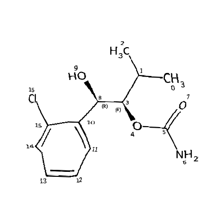 CC(C)[C@@H](OC(N)=O)[C@H](O)c1ccccc1Cl